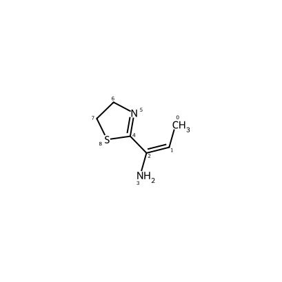 C/C=C(/N)C1=NCCS1